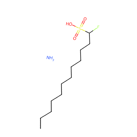 CCCCCCCCCCCC(F)S(=O)(=O)O.N